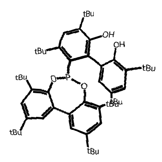 CC(C)(C)c1cc(-c2c(O)c(C(C)(C)C)cc(C(C)(C)C)c2-p2oc3c(C(C)(C)C)cc(C(C)(C)C)cc3c3cc(C(C)(C)C)cc(C(C)(C)C)c3o2)c(O)c(C(C)(C)C)c1